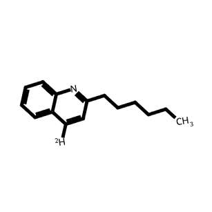 [2H]c1cc(CCCCCC)nc2ccccc12